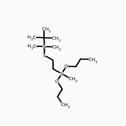 CCCO[Si](C)(CCS[Si](C)(C)C(C)(C)C)OCCC